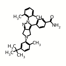 Cc1ccc(C(C)(C)C)cc1N1Cc2nn(-c3c(C)cccc3C)c(-c3ccc(C(N)=O)cc3)c2C1